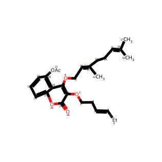 CCC=CCCOc1c(OC/C=C(\C)CCC=C(C)C)c2c(OC(C)=O)cccc2oc1=O